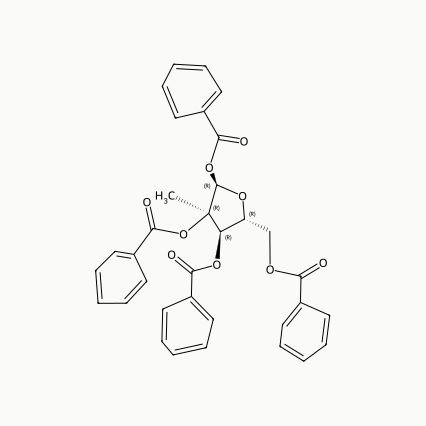 C[C@]1(OC(=O)c2ccccc2)[C@@H](OC(=O)c2ccccc2)O[C@H](COC(=O)c2ccccc2)[C@H]1OC(=O)c1ccccc1